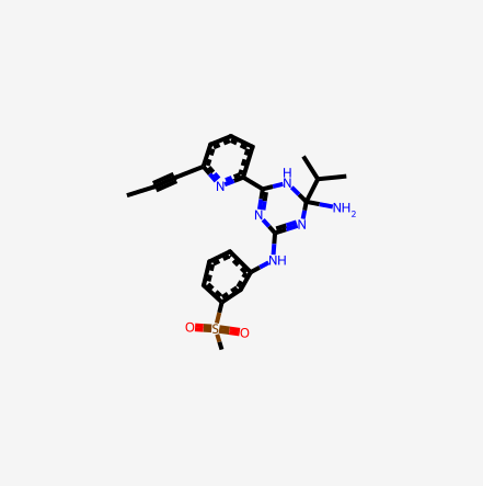 CC#Cc1cccc(C2=NC(Nc3cccc(S(C)(=O)=O)c3)=NC(N)(C(C)C)N2)n1